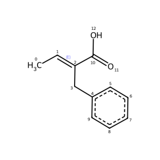 C/C=C(\Cc1ccccc1)C(=O)O